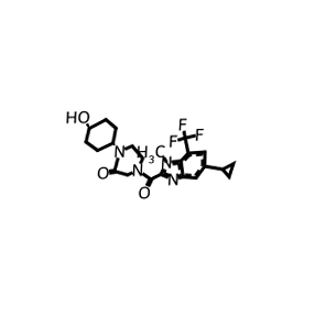 Cn1c(C(=O)N2CCN([C@H]3CC[C@H](O)CC3)C(=O)C2)nc2cc(C3CC3)cc(C(F)(F)F)c21